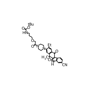 CCc1cc2c(cc1N1CCN(C(=O)COCCCNC(=O)OC(C)(C)C)CC1)C(C)(C)c1[nH]c3cc(C#N)ccc3c1C2=O